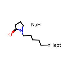 CCCCCCCCCCCCN1CCCC1=O.[NaH]